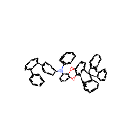 c1ccc(-c2ccccc2-c2ccc(N(c3ccccc3)c3cccc4c3Oc3ccc5c(c3O4)-c3ccccc3C53c4ccccc4-c4ccccc43)cc2)cc1